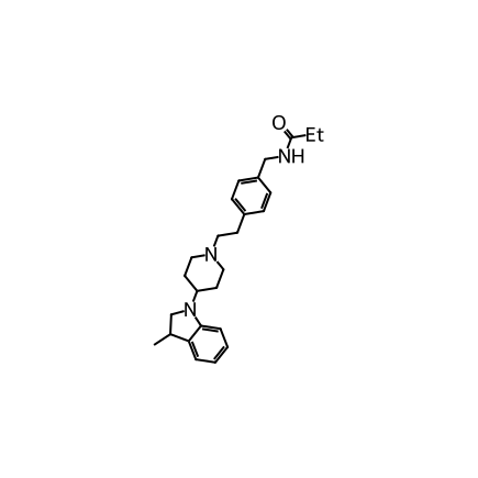 CCC(=O)NCc1ccc(CCN2CCC(N3CC(C)c4ccccc43)CC2)cc1